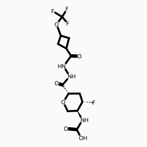 O=C(O)N[C@H]1CO[C@H](C(=O)NNC(=O)C2CC(OC(F)(F)F)C2)C[C@@H]1F